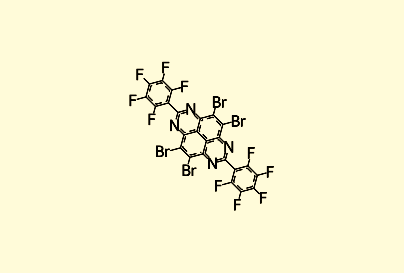 Fc1c(F)c(F)c(-c2nc3c(Br)c(Br)c4nc(-c5c(F)c(F)c(F)c(F)c5F)nc5c(Br)c(Br)c(n2)c3c45)c(F)c1F